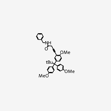 COc1ccc(C(c2ccc(OC)cc2)(c2ccc(OC)c(C#CCC(=O)NCc3ccccc3)c2)C(C)(C)C)cc1